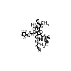 CCO[PH](=O)CCC1O[C@@H](n2cc(C)c(=O)[nH]c2=O)[C@H](OCCOC2CCCC2)[C@@H]1OP(N)OCCC#N